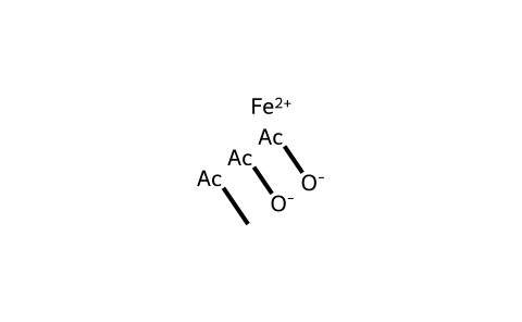 CC(=O)[O-].CC(=O)[O-].CC(C)=O.[Fe+2]